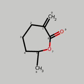 C=C1CCCC(C)OC1=O